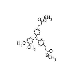 COC(=O)CCc1ccc(N(c2ccc(CCC(=O)OC)cc2)c2ccc(C)c(C)c2)cc1